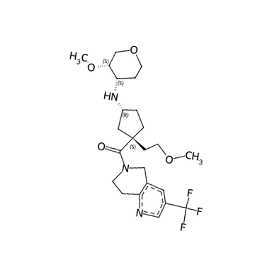 COCC[C@]1(C(=O)N2CCc3ncc(C(F)(F)F)cc3C2)CC[C@@H](N[C@H]2CCOC[C@H]2OC)C1